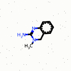 CN1Cc2ccccc2N=C1N